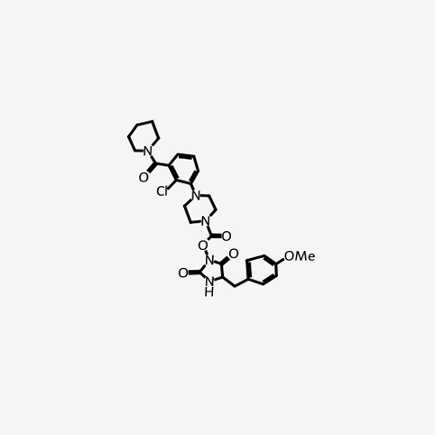 COc1ccc(CC2NC(=O)N(OC(=O)N3CCN(c4cccc(C(=O)N5CCCCC5)c4Cl)CC3)C2=O)cc1